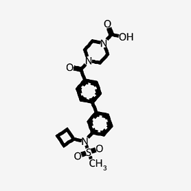 CS(=O)(=O)N(c1cccc(-c2ccc(C(=O)N3CCN(C(=O)O)CC3)cc2)c1)C1CCC1